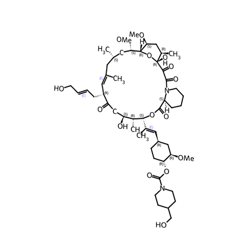 CO[C@H]1C[C@@H](C)C/C(C)=C/[C@@H](C/C=C/CO)C(=O)C[C@H](O)[C@@H](C)[C@@H](/C(C)=C/[C@@H]2CC[C@@H](OC(=O)N3CCC(CO)CC3)[C@H](OC)C2)OC(=O)[C@@H]2CCCCN2C(=O)C(=O)[C@]2(O)O[C@H]1[C@@H](OC)C[C@H]2C